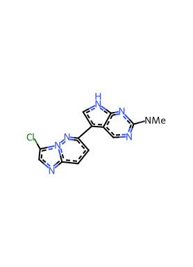 CNc1ncc2c(-c3ccc4ncc(Cl)n4n3)c[nH]c2n1